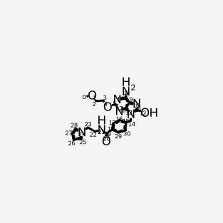 COCCOc1nc(N)c2nc(O)n(Cc3ccc(C(=O)NCCn4cccc4)cc3)c2n1